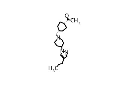 CCCc1cnn(C2CCN(C[C@H]3CC[C@@H](C(C)=O)CC3)CC2)c1